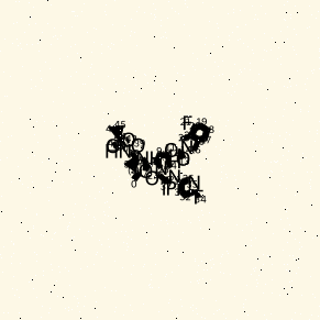 C=C[C@@H]1C[C@]1(NC(=O)[C@@H]1C[C@@H](OC(=O)N2Cc3cccc(F)c3C2)CN1C(=O)[C@@H](Nc1ccc(F)nc1)C(C)C)C(=O)NS(=O)(=O)C1CC1